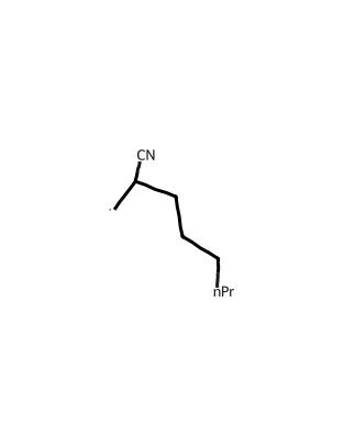 [CH2]C(C#N)CCCCCC